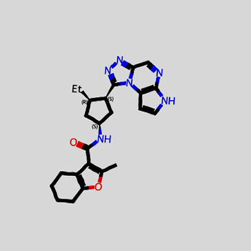 CC[C@@H]1C[C@H](NC(=O)c2c(C)oc3c2CCCC3)C[C@@H]1c1nnc2cnc3[nH]ccc3n12